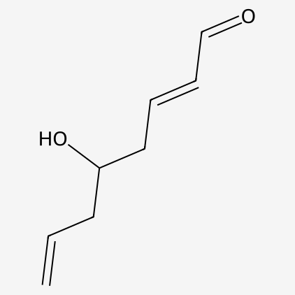 C=CCC(O)CC=CC=O